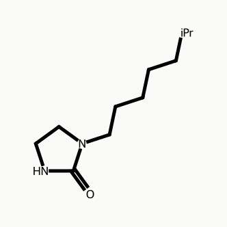 CC(C)CCCCCN1CCNC1=O